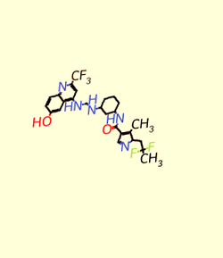 CC1=C(C(=O)NC2CCCC(NCNc3cc(C(F)(F)F)nc4ccc(O)cc34)C2)C=NC1CC(C)(F)F